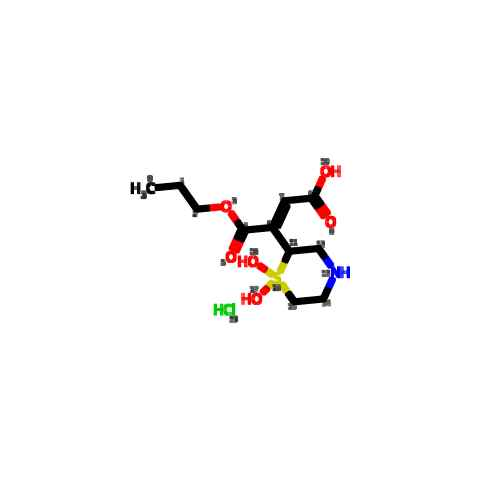 CCCOC(=O)/C(=C/C(=O)O)C1CNCCS1(O)O.Cl